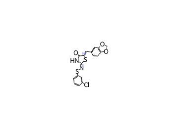 O=C1N/C(=N\Sc2cccc(Cl)c2)S/C1=C\c1ccc2c(c1)OCO2